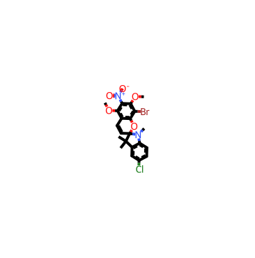 COc1c(Br)c2c(c(OC)c1[N+](=O)[O-])C=CC1(O2)N(C)c2ccc(Cl)cc2C1(C)C